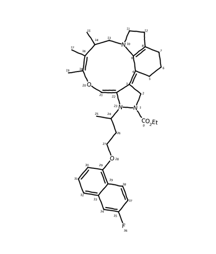 CCOC(=O)N1CC2=C3\CCCC4=C3N(CC4)CC(C)/C(C)=C(/C)O/C=C\2N1C(C)CCOc1cccc2cc(F)ccc12